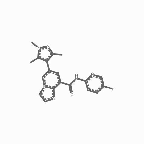 Cc1nn(C)c(C)c1-c1cc(C(=O)Nc2ccc(F)cn2)c2nccn2c1